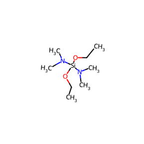 CCO[Si](OCC)(N(C)C)N(C)C